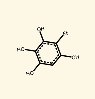 CCc1c(O)cc(O)c(O)c1O